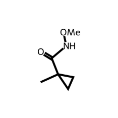 CONC(=O)C1(C)CC1